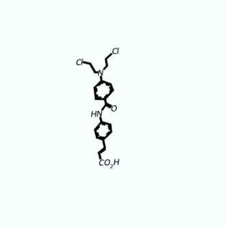 O=C(O)C=Cc1ccc(NC(=O)c2ccc(N(CCCl)CCCl)cc2)cc1